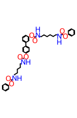 O=C(NCCCCCCNC(=O)Oc1cccc(-c2ccc(OC(=O)NCCCCCNC(=O)Oc3ccccc3)cc2)c1)Oc1ccccc1